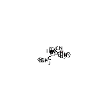 CN1CCN(CC(=O)N2C3CC2CN(c2ccc(-c4cc(OCCN5CC6CC(C5)N6C)cn5ncc(C#N)c45)cn2)C3)CC1